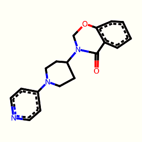 O=C1c2ccccc2OCN1C1CCN(c2ccncc2)CC1